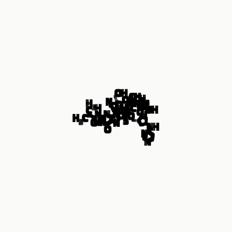 CC(C)C(=O)Nc1nc2c(ncn2[C@@H]2O[C@H](CO)[C@@H](O[Si](C)(C)C(C)(C)C)[C@H]2O[P@](=S)(OCCC#N)OC[C@H]2C[C@@H](Nc3ccncn3)C[C@@H]2O[PH](=O)O)c(=O)[nH]1